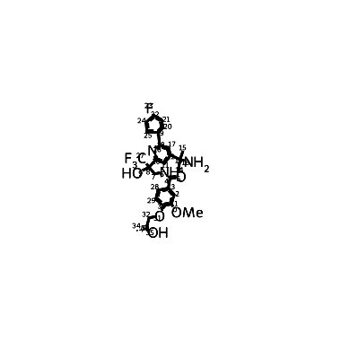 COc1cc(C(=O)NCC(O)(c2cc(C(C)(C)N)cc(-c3ccc(F)cc3)n2)C(F)(F)F)ccc1OC[C@@H](C)O